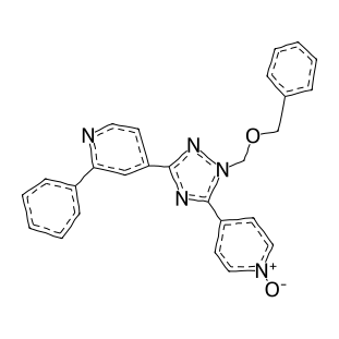 [O-][n+]1ccc(-c2nc(-c3ccnc(-c4ccccc4)c3)nn2COCc2ccccc2)cc1